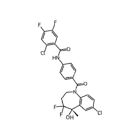 C[C@]1(O)c2cc(Cl)ccc2N(C(=O)c2ccc(NC(=O)c3cc(F)c(F)cc3Cl)cc2)CCC1(F)F